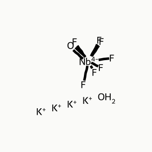 O.[K+].[K+].[K+].[K+].[O]=[Nb-4]([F])([F])([F])([F])([F])([F])[F]